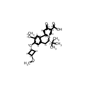 COc1cc2c(cc1O[C@H]1C[C@H](OC)C1)C[C@@H](C(C)(C)C)n1cc(C(=O)O)c(=O)cc1-2